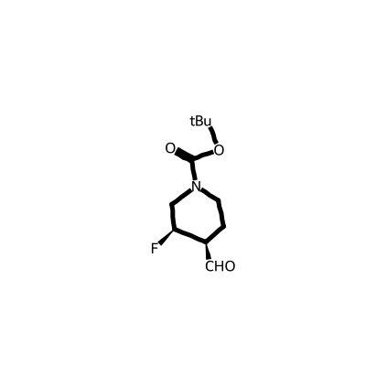 CC(C)(C)OC(=O)N1CC[C@@H](C=O)[C@@H](F)C1